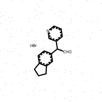 Br.O=CC(c1cccnc1)c1ccc2c(c1)CCC2